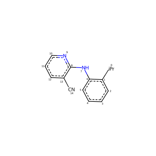 CC(C)c1ccccc1Nc1ncccc1C#N